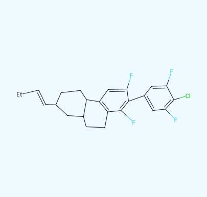 CCC=CC1CCC2c3cc(F)c(-c4cc(F)c(Cl)c(F)c4)c(F)c3CCC2C1